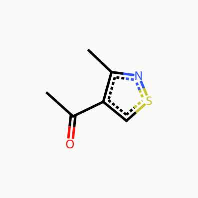 CC(=O)c1csnc1C